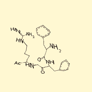 CC(=O)C(CCCNC(=N)N)NCC(=O)C(Cc1ccccc1)NC(=O)C(N)Cc1ccccc1